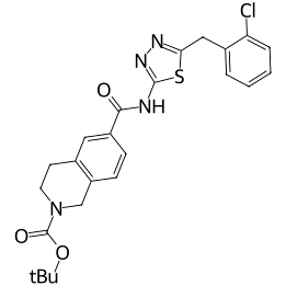 CC(C)(C)OC(=O)N1CCc2cc(C(=O)Nc3nnc(Cc4ccccc4Cl)s3)ccc2C1